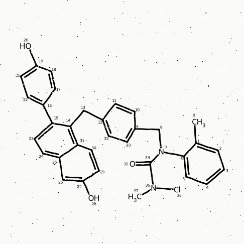 Cc1ccccc1N(Cc1ccc(Cc2c(-c3ccc(O)cc3)ccc3cc(O)ccc23)cc1)C(=O)N(C)Cl